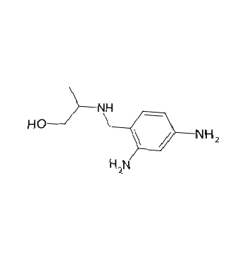 CC(CO)NCc1ccc(N)cc1N